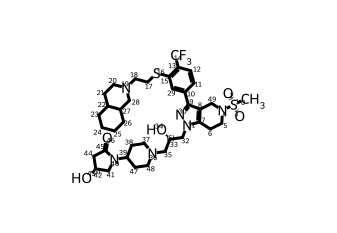 CS(=O)(=O)N1CCc2c(c(-c3ccc(C(F)(F)F)c(SCCN4CCC5CCCCC5C4)c3)nn2C[C@@H](O)CN2CCC(N3C[C@@H](O)CC3=O)CC2)C1